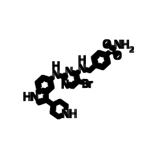 NS(=O)(=O)c1ccc(CNc2nc(Nc3ccc4[nH]cc(C5=CCNCC5)c4c3)ncc2Br)cc1